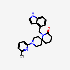 N#Cc1cccc(N2CCC3(CCCC(=O)N3Cc3cccc4[nH]ccc34)CC2)n1